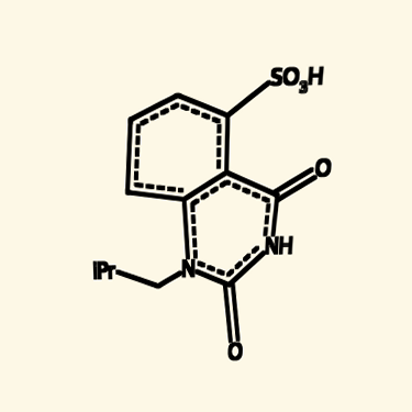 CC(C)Cn1c(=O)[nH]c(=O)c2c(S(=O)(=O)O)cccc21